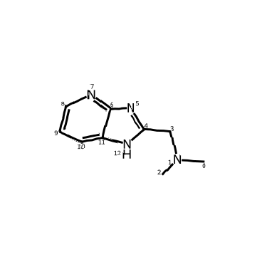 CN(C)Cc1nc2ncccc2[nH]1